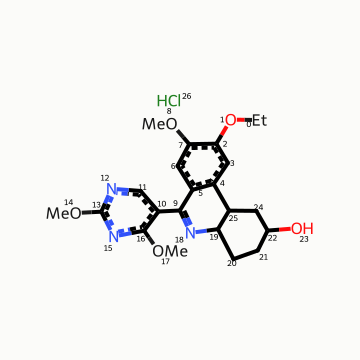 CCOc1cc2c(cc1OC)C(c1cnc(OC)nc1OC)=NC1CCC(O)CC21.Cl